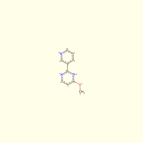 COc1ccnc(-c2cccnc2)n1